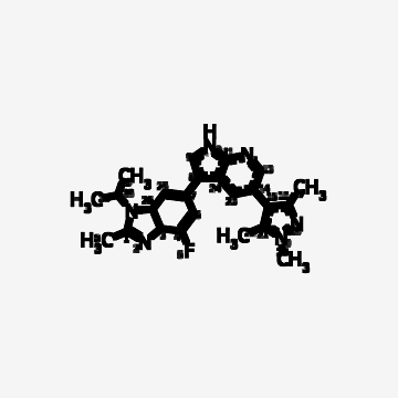 CC1=NC2C(F)=CC(c3c[nH]c4ncc(-c5c(C)nn(C)c5C)cc34)=CC2N1C(C)C